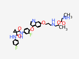 CNCC(=O)OC(C)CNCCCOc1ccc2c(Oc3ccc(NC(=O)C4(C(=O)Nc5ccc(F)cc5)CC4)cc3F)ccnc2c1